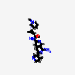 C=N/C=C(\C=C/C)[C@H]1C[C@@H]1C(=O)Nc1cc2cc(-c3cnccc3C)nc(N)c2cn1